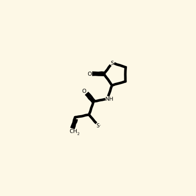 C=CC([S])C(=O)NC1CCSC1=O